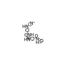 CCN1CCC(Nc2ccc(C(=O)Nc3n[nH]c4ccc(C(=O)NCc5cccs5)cc34)cc2)CC1